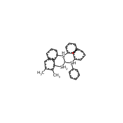 Cc1cccc([SiH2]P([SiH](c2ccccc2)c2ccccc2)[SiH](c2ccccc2)c2ccccc2)c1C